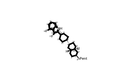 CCCCC[C@H]1CC[C@@H]2C[C@H](C3CCC(c4[nH]c5cccc(F)c5c4F)CC3)CC[C@H]2C1